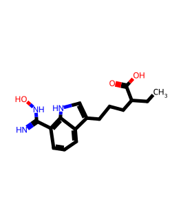 CCC(CCCc1c[nH]c2c(C(=N)NO)cccc12)C(=O)O